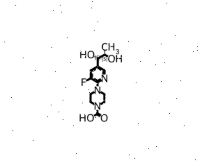 C[C@H](O)[C@@H](O)c1cnc(N2CCN(C(=O)O)CC2)c(F)c1